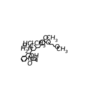 COCCCOc1cc(CC(CC(N)C(O)Cc2ccccc2NC(=O)C2CC2)C(C)C)ccc1OC.Cl